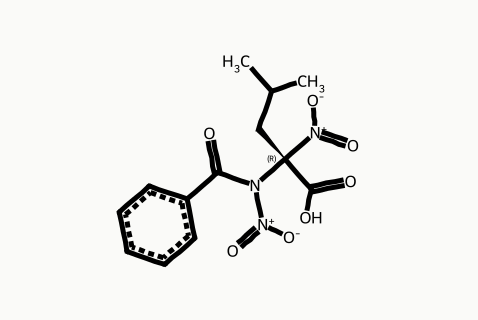 CC(C)C[C@@](C(=O)O)(N(C(=O)c1ccccc1)[N+](=O)[O-])[N+](=O)[O-]